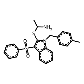 Cc1ccc(Cn2c(SC(C)N)c(S(=O)(=O)c3ccccc3)c3ccccc32)cc1